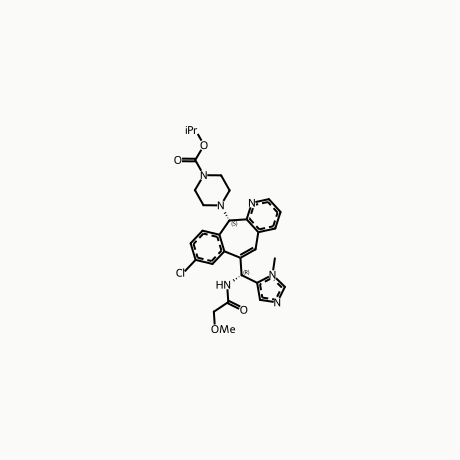 COCC(=O)N[C@H](C1=Cc2cccnc2[C@@H](N2CCN(C(=O)OC(C)C)CC2)c2ccc(Cl)cc21)c1cncn1C